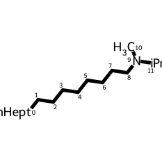 CCCCCCCCCCCCCCCN(C)C(C)C